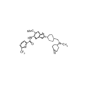 COc1cc2nn(C3CCC(CN(C)C4CCNCC4)CC3)cc2cc1NC(=O)c1cccc(C(F)(F)F)n1